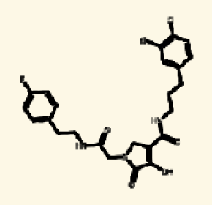 O=C(CN1CC(C(=O)NCCCc2ccc(Cl)c(Cl)c2)=C(O)C1=O)NCCc1ccc(F)cc1